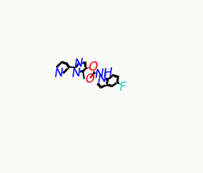 Cc1nc(-c2cccnc2)ncc1OC(=O)Nn1ccc2cc(F)ccc21